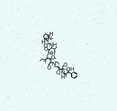 CC[C@H](C)[C@@H](CNC(=O)C(NC(=O)[C@@H]1[C@H]2CC[C@H](C2)N1C)C(C)C)[C@@H](OC)[C@@H](C=O)N1CC[C@H]([C@@H](OC)[C@](C)(C=O)N[C@H](C)[C@@H](O)c2ccccc2)C1